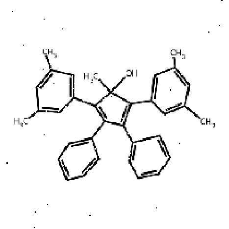 Cc1cc(C)cc(C2=C(c3ccccc3)C(c3ccccc3)=C(c3cc(C)cc(C)c3)C2(C)O)c1